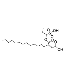 CCCCCCCCCCCCCC(=CC(=O)O)C(=O)OC(CC)S(=O)(=O)O